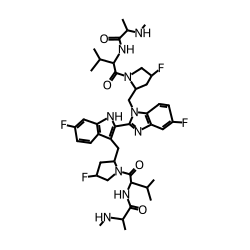 CNC(C)C(=O)NC(C(=O)N1CC(F)CC1Cc1c(-c2nc3cc(F)ccc3n2CC2CC(F)CN2C(=O)C(NC(=O)C(C)NC)C(C)C)[nH]c2cc(F)ccc12)C(C)C